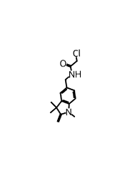 C=C1N(C)c2ccc(CNC(=O)CCl)cc2C1(C)C